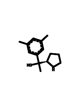 Cc1cc(C)cc(C(C)(O)[C@@H]2CCCN2)c1